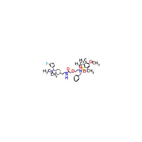 COc1cc(C)c(S(=O)(=O)N(CCOCC(=O)NCCC2CCC(C(c3cccc(F)c3)N(C)C)CC2)Cc2ccccc2)c(C)c1C